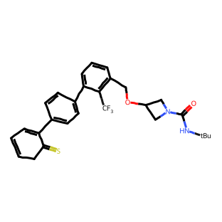 CC(C)(C)NC(=O)N1CC(OCc2cccc(-c3ccc(C4=CC=CCC4=S)cc3)c2C(F)(F)F)C1